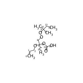 C=CCOC(C)(COOC(C)(C)CC)OC(=O)O